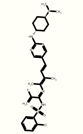 C=C(F)\C(=N/C(C)=C(C)/C=C/c1cnc(N[C@H]2CC[C@H](N(C)C)CC2)nc1)NS(=O)(=O)c1ccccc1Cl